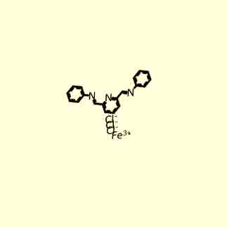 C(=Nc1ccccc1)c1cccc(C=Nc2ccccc2)n1.[Cl-].[Cl-].[Cl-].[Fe+3]